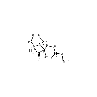 CCN1CCC(C(C)=O)(N2CCCCC2)CC1